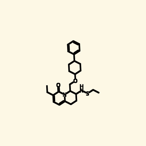 CCSNC1CCc2ccc(CC)c(=O)n2C1COC1CCC(c2ccccc2)CC1